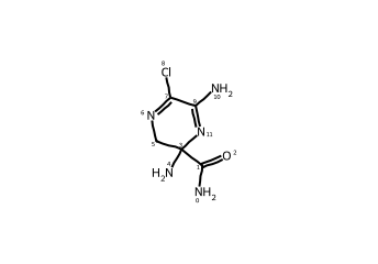 NC(=O)C1(N)CN=C(Cl)C(N)=N1